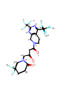 O=C(CC(=O)N1CCc2c(nc(C(F)(F)F)nc2C(F)(F)F)C1)CN1CC(F)(F)CCC1=O